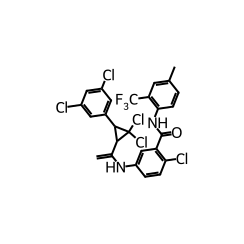 C=C(Nc1ccc(Cl)c(C(=O)Nc2ccc(C)cc2C(F)(F)F)c1)C1C(c2cc(Cl)cc(Cl)c2)C1(Cl)Cl